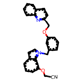 N#CCOc1cccc2ccn(Cc3cccc(OCc4ccc5ccccc5n4)c3)c12